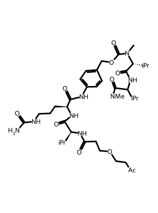 CNC(=O)C(NC(=O)[C@@H](C(C)C)N(C)C(=O)OCc1ccc(NC(=O)[C@H](CCCNC(N)=O)NC(=O)[C@@H](NC(=O)CCOCCC(C)=O)C(C)C)cc1)C(C)C